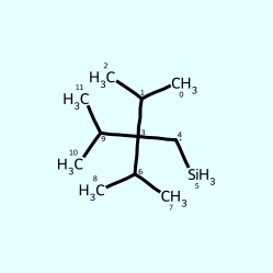 CC(C)C([CH][SiH3])(C(C)C)C(C)C